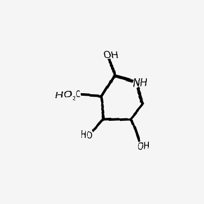 O=C(O)C1C(O)NCC(O)C1O